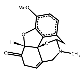 COc1ccc2c3c1O[C@H]1C(=O)CC=C4CN(C)C(C2)C[C@]431